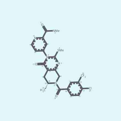 CNC(=O)c1cc(-n2c(SC)nc3c(c2=O)C[C@@H](C)N(C(=O)c2ccc(Cl)c(C(F)(F)F)c2)C3)ccn1